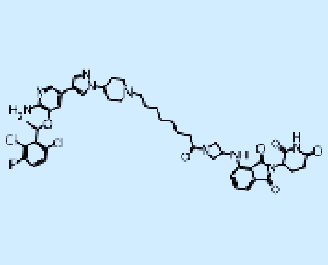 CC(Oc1cc(-c2cnn(C3CCN(CCCCCCCC(=O)N4CC(Nc5cccc6c5C(=O)N(C5CCC(=O)NC5=O)C6=O)C4)CC3)c2)cnc1N)c1c(Cl)ccc(F)c1Cl